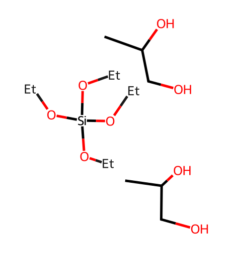 CC(O)CO.CC(O)CO.CCO[Si](OCC)(OCC)OCC